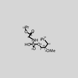 CO[C@H](COP(=O)(O)NCC(=O)OC(C)C)CC(C)C